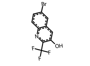 Oc1cc2cc(Br)ccc2nc1C(F)(F)F